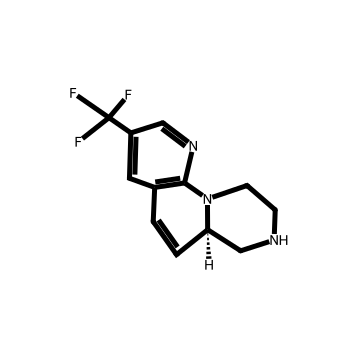 FC(F)(F)c1cnc2c(c1)C=C[C@@H]1CNCCN21